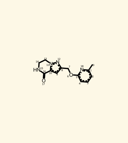 Cc1cccc(OCc2cc3n(n2)CCNC3=O)n1